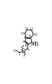 CC[Si](C)(C)CC1=CC2=C(CCCC2)[CH]1[Ti]